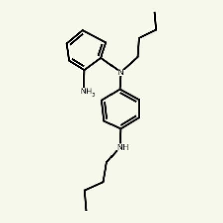 CCCCNc1ccc(N(CCCC)c2ccccc2N)cc1